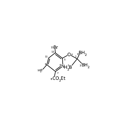 BC(B)(B)Oc1nc(C(=O)OCC)c(F)cc1Br